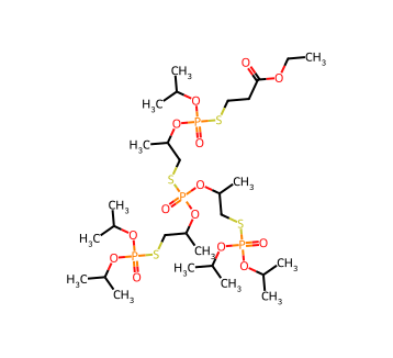 CCOC(=O)CCSP(=O)(OC(C)C)OC(C)CSP(=O)(OC(C)CSP(=O)(OC(C)C)OC(C)C)OC(C)CSP(=O)(OC(C)C)OC(C)C